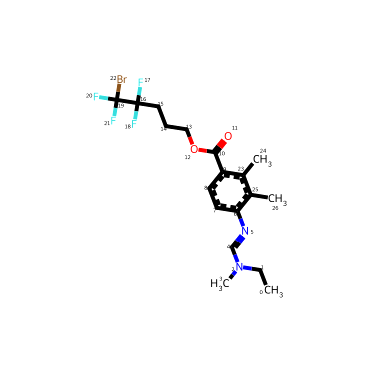 CCN(C)/C=N/c1ccc(C(=O)OCCCC(F)(F)C(F)(F)Br)c(C)c1C